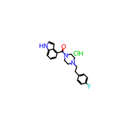 Cl.O=C(c1cccc2[nH]ccc12)N1CCN(CCc2ccc(F)cc2)CC1